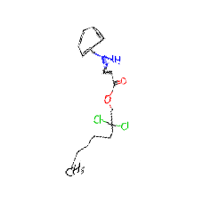 CCCCCC(Cl)(Cl)COC(=O)CNc1ccccc1